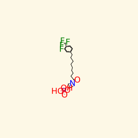 O=C(CCCCCCCCc1ccc(C(F)(F)F)c(F)c1)N1CC(OP(=O)(O)O)C1